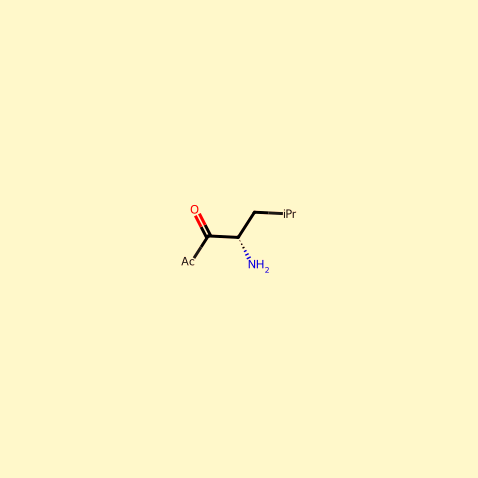 CC(=O)C(=O)[C@@H](N)CC(C)C